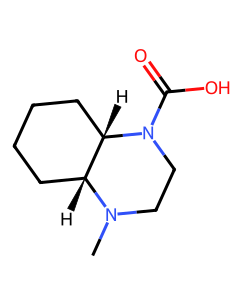 CN1CCN(C(=O)O)[C@H]2CCCC[C@H]21